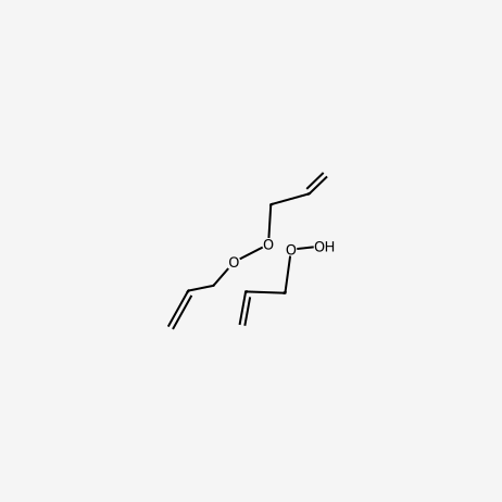 C=CCOO.C=CCOOCC=C